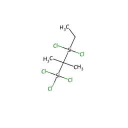 CC[Si](Cl)(Cl)C(C)(C)[Si](Cl)(Cl)Cl